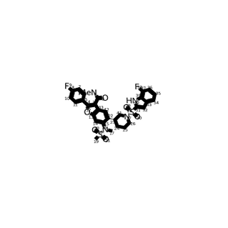 CNC(=O)c1c(-c2ccc(F)cc2)oc2cc(N(C)S(C)(=O)=O)c([C@H]3CCCN(S(=O)(=O)c4cc5cccc(F)c5[nH]4)C3)cc12